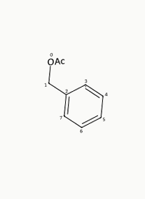 CC(=O)OCc1[c]cccc1